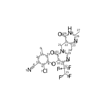 Cc1cc(C#N)c(Cl)c(Oc2c(C(F)(F)C(F)F)ncn(Cc3c(C)nc(C)[nH]c3=O)c2=O)c1